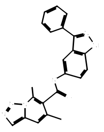 Cc1cc2cnnn2c(C)c1C(=O)Nc1ccc2[nH]nc(-c3ccccc3)c2c1